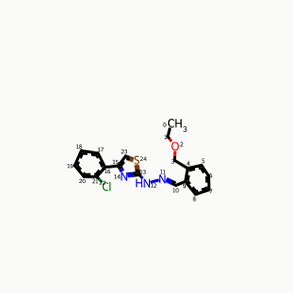 CCOCc1ccccc1/C=N/Nc1nc(-c2ccccc2Cl)cs1